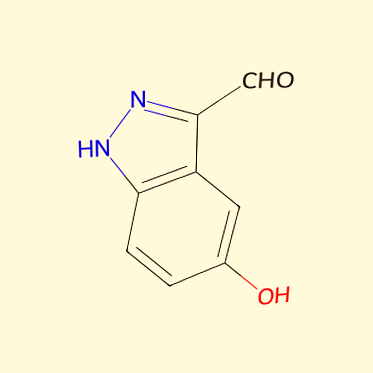 O=Cc1n[nH]c2ccc(O)cc12